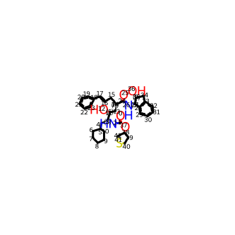 O=C(N[C@@H](CC1CCCCC1)[C@@H](O)C[C@@H](CC=Cc1ccccc1)C(=O)N[C@H]1c2ccccc2C[C@H]1O)OC1CCSC1